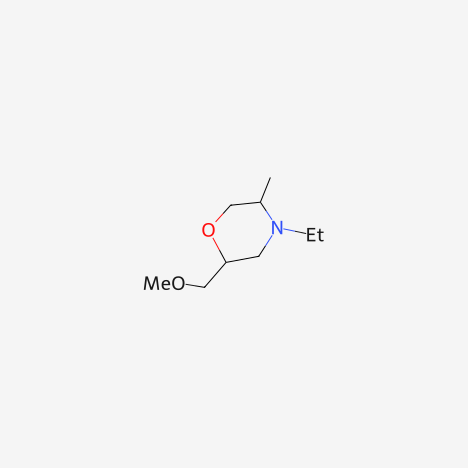 [CH2]CN1CC(COC)OCC1C